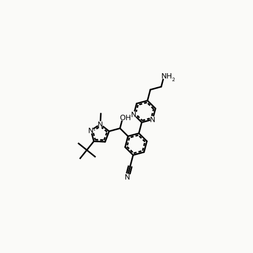 Cn1nc(C(C)(C)C)cc1C(O)c1cc(C#N)ccc1-c1ncc(CCN)cn1